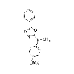 COc1ccc(N(C)c2nnc(-c3ccccc3)o2)cc1